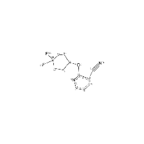 N#Cc1cccnc1OC1CCC(F)(F)CC1